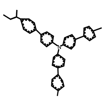 CCC(C)c1ccc(-c2ccc(N(c3ccc(-c4ccc(C)cc4)cc3)c3ccc(-c4ccc(C)cc4)cc3)cc2)cc1